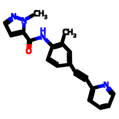 Cc1cc(C#Cc2ccccn2)ccc1NC(=O)c1ccnn1C